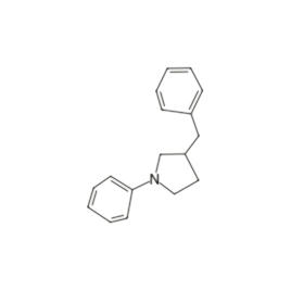 c1ccc(CC2CCN(c3ccccc3)C2)cc1